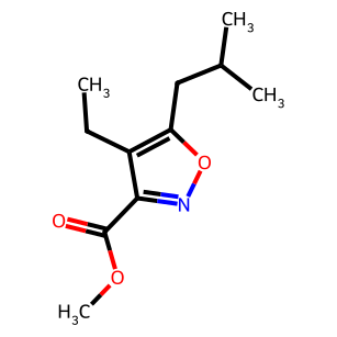 CCc1c(C(=O)OC)noc1CC(C)C